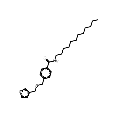 CCCCCCCCCCCCNC(=O)c1ccc(C[N]Cc2ccsc2)cc1